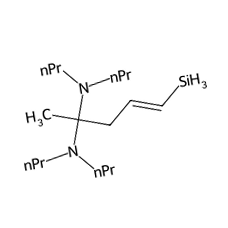 CCCN(CCC)C(C)(C/C=C/[SiH3])N(CCC)CCC